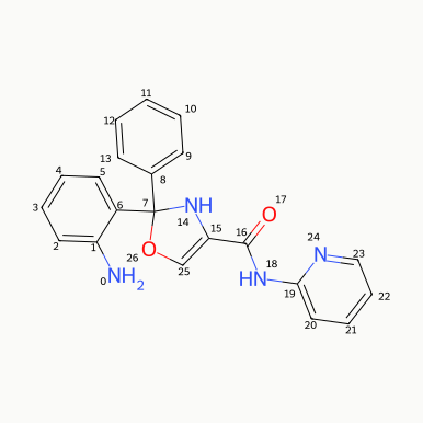 Nc1ccccc1C1(c2ccccc2)NC(C(=O)Nc2ccccn2)=CO1